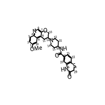 COc1ccc2ncc3c(c2c1)CC(N1CCC(NC(=O)c2ccc4c(c2)NC(=O)CS4)CC1)CO3